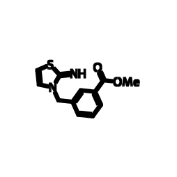 COC(=O)c1cccc(Cn2ccsc2=N)c1